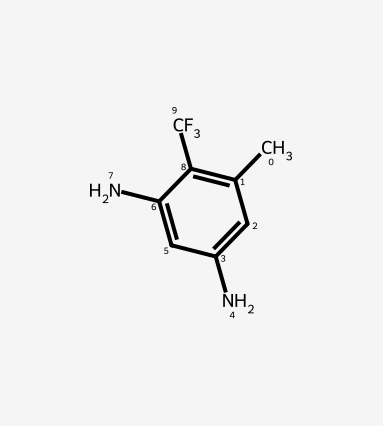 Cc1cc(N)cc(N)c1C(F)(F)F